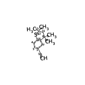 C#Cc1ccc2c(c1)C(C)(C)CC(C)(C)S2